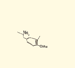 COc1ccc(CC(C)N)cc1C